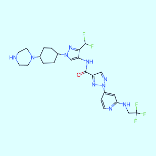 O=C(Nc1cn(C2CCC(N3CCNCC3)CC2)nc1C(F)F)c1cnn(-c2ccnc(NCC(F)(F)F)c2)n1